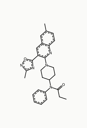 CCC(=O)N(c1ccccc1)C1CCN(c2nc3ccc(C)cc3cc2-c2nc(C)no2)CC1